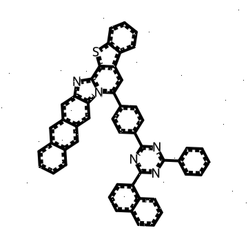 c1ccc(-c2nc(-c3ccc(-c4cc5c6ccccc6sc5c5nc6cc7cc8ccccc8cc7cc6n45)cc3)nc(-c3cccc4ccccc34)n2)cc1